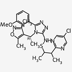 COc1cccc(-c2nnc(NSC(C)C(C)c3ncc(Cl)cn3)n2[C@H](C)c2c(C)noc2C)n1